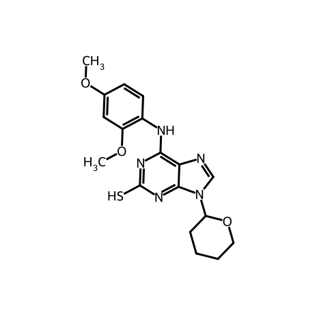 COc1ccc(Nc2nc(S)nc3c2ncn3C2CCCCO2)c(OC)c1